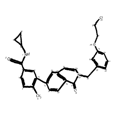 Cc1ccc(C(=O)NC2CC2)cc1-c1ccc2c(=O)n(Cc3cccc(OCCCl)c3)ccc2c1